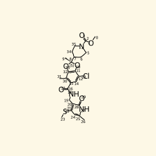 COC(=O)N1CCC([C@]2(C)Oc3c(Cl)cc(C(=O)NCc4c(SC)cc(C)[nH]c4=O)c(C)c3O2)CC1